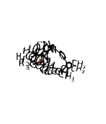 COC(=O)[C@@H](OC(C)(C)C)c1c(C)nc2cc3nn2c1N1CCC(C)(CC1)OCCCC[C@H](C)Oc1cc(C)c(C)cc1-c1cccc-3c1